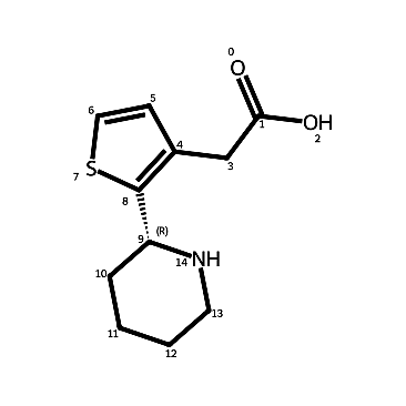 O=C(O)Cc1ccsc1[C@H]1CCCCN1